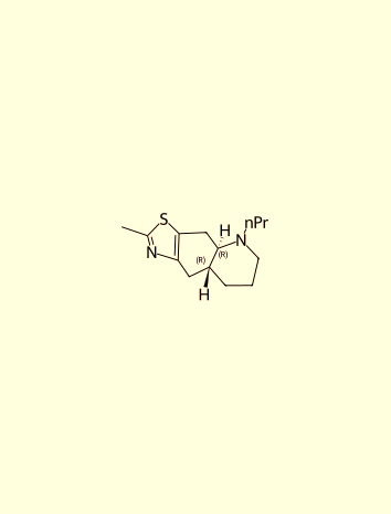 CCCN1CCC[C@@H]2Cc3nc(C)sc3C[C@H]21